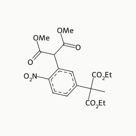 CCOC(=O)C(C)(C(=O)OCC)c1ccc([N+](=O)[O-])c(C(C(=O)OC)C(=O)OC)c1